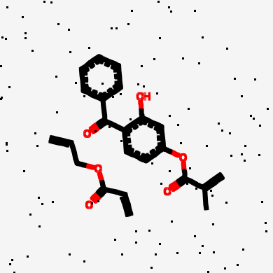 C=C(C)C(=O)Oc1ccc(C(=O)c2ccccc2)c(O)c1.C=CCOC(=O)C=C